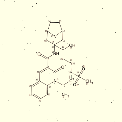 CC(C)n1c(=O)c(C(=O)NC2CC3CCC(C2)N3CC(O)CNCS(C)(=O)=O)cc2ccccc21